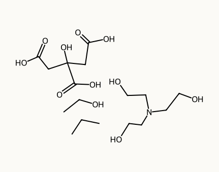 CCC.CCO.O=C(O)CC(O)(CC(=O)O)C(=O)O.OCCN(CCO)CCO